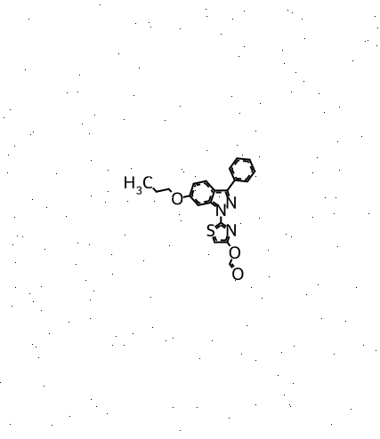 CCCOc1ccc2c(-c3ccccc3)nn(-c3nc(OC=O)cs3)c2c1